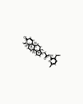 CCc1ccc(C)nc1NC(=O)C[C@H]1CC[C@H]2[C@@H]3CC[C@H]4N(C)C(=O)C=C[C@]4(C)[C@H]3CC[C@]12C